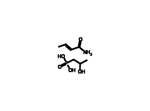 CC(O)CP(=O)(O)O.CC=CC(N)=O